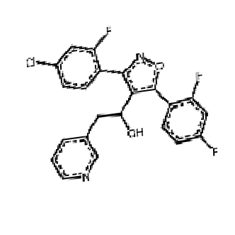 OC(Cc1cccnc1)c1c(-c2ccc(Cl)cc2F)noc1-c1ccc(F)cc1F